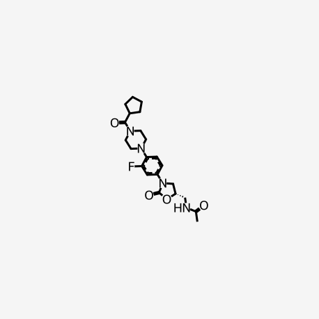 CC(=O)NC[C@H]1CN(c2ccc(N3CCN(C(=O)C4CCCC4)CC3)c(F)c2)C(=O)O1